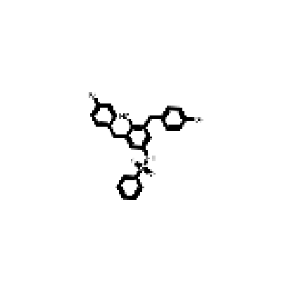 O=S(=O)(Nc1cc(Cc2ccc(O)cc2)c(O)c(Cc2ccc(O)cc2)c1)c1ccccc1